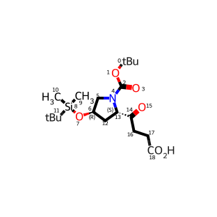 CC(C)(C)OC(=O)N1C[C@H](O[Si](C)(C)C(C)(C)C)C[C@H]1C(=O)CCC(=O)O